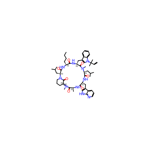 C=CC(C)(C)n1cc(C[C@@H]2NC(=O)[C@H](CCCC)NC(=O)[C@H](CC(C)C)N3CCC[C@@H](C3=O)N(C)C(=O)[C@H](C)NC(=O)[C@H](Cc3c[nH]c4ncccc34)NC(=O)[C@H](CC(C)C)N(C)C2=O)c2ccccc21